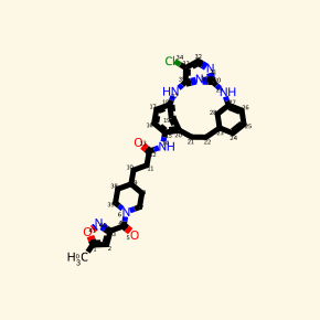 Cc1cc(C(=O)N2CCC(CCC(=O)Nc3ccc4cc3CCC3C=CC=C(C3)Nc3ncc(Cl)c(n3)N4)CC2)no1